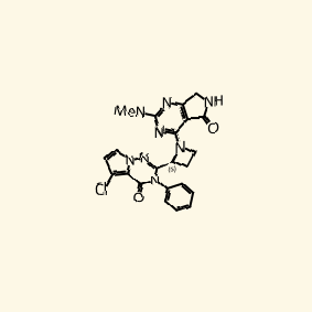 CNc1nc2c(c(N3CC[C@H]3c3nn4ccc(Cl)c4c(=O)n3-c3ccccc3)n1)C(=O)NC2